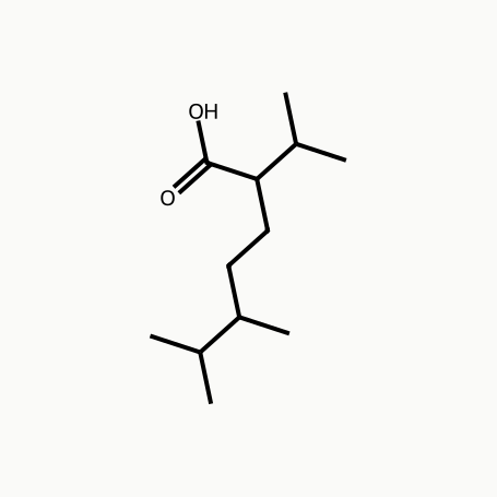 CC(C)C(C)CCC(C(=O)O)C(C)C